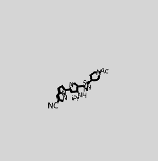 CC(=O)N1CCC(c2nnc(-c3cnc(-c4ccc5cc(C#N)cnn45)cc3NC(C)C)s2)CC1